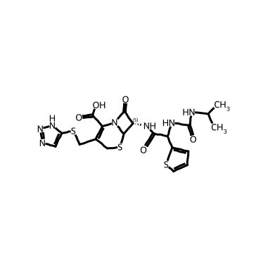 CC(C)NC(=O)NC(C(=O)N[C@H]1C(=O)N2C(C(=O)O)=C(CSc3cnn[nH]3)CSC12)c1cccs1